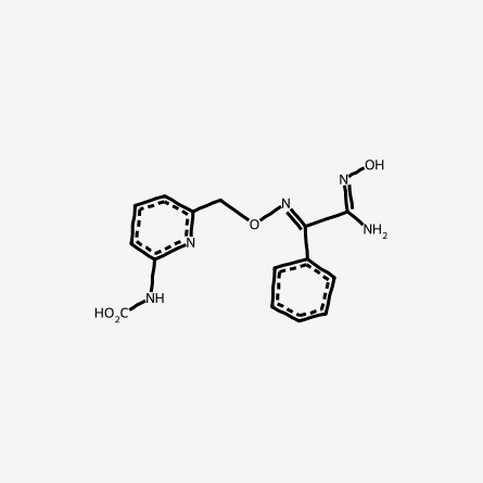 NC(=NO)C(=NOCc1cccc(NC(=O)O)n1)c1ccccc1